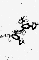 COC(=O)c1cc(N)cc(-c2ccc(C)cn2)c1.COC(=O)c1cc(NC(=O)C(C)(F)F)cc(-c2ccc(C)cn2)c1